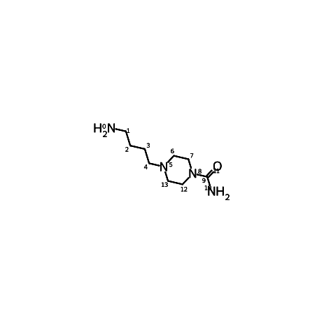 NCCCCN1CCN(C(N)=O)CC1